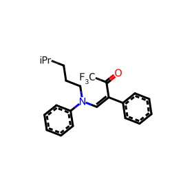 CC(C)CCCN(/C=C(\C(=O)C(F)(F)F)c1ccccc1)c1ccccc1